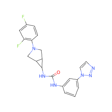 O=C(Nc1cccc(-n2ccnn2)c1)NC1C2CN(c3ccc(F)cc3F)CC21